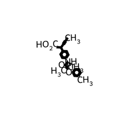 CC#CC(CC(=O)O)c1ccc(NC(=O)C(C)(C)Oc2cc(C)ccc2C(C)C)cc1